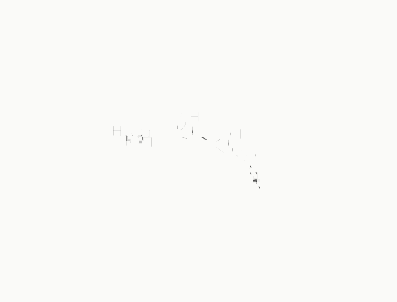 Cc1cc(C#Cc2ccc(OC[C@H](O)CN=[N+]=[N-])c(C)c2)ccc1OCCCOC(C)(C)O